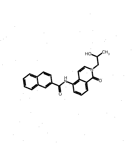 CC(O)Cn1ccc2c(NC(=O)c3ccc4ccccc4c3)cccc2c1=O